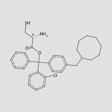 N[C@@H](CS)C(=O)OC(c1ccccc1)(c1ccc(CC2CCCCCCC2)cc1)c1ccccc1Cl